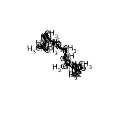 CC[C@@H]1C(=O)N(C)c2cnc(Nc3ccc(C(=O)NCCN(C)C/C=C/C(=O)N[C@@H]4CN(c5nc(Nc6cn(C)nc6OC)c6ncn(C)c6n5)C[C@H]4F)cc3OC)nc2N1C1CCCC1